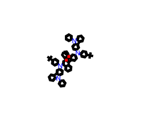 CC(C)(C)c1ccc(N(c2ccc3c(c2)C2(c4cc(N(c5ccc(C(C)(C)C)cc5)c5ccc6c(c5)c5ccccc5n6-c5ccccc5)c5ccccc5c4-3)C3CC4CC(C3)CC2C4)c2ccc3c(c2)c2ccccc2n3-c2ccccc2)cc1